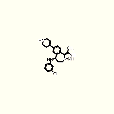 CC1=C2c3ccc(C4=CCNCC4)cc3C(Nc3cccc(Cl)c3)CCN2NN1